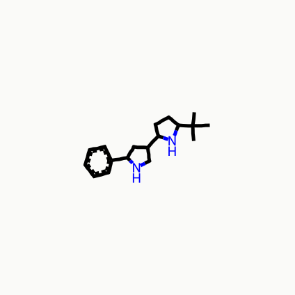 CC(C)(C)C1CCC(C2CNC(c3ccccc3)C2)N1